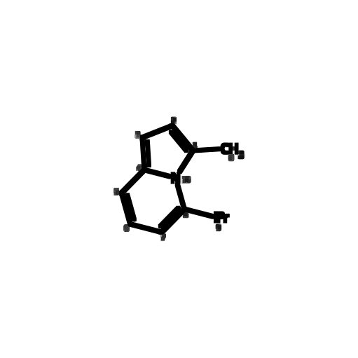 Cc1ccc2cccc(C(C)C)n12